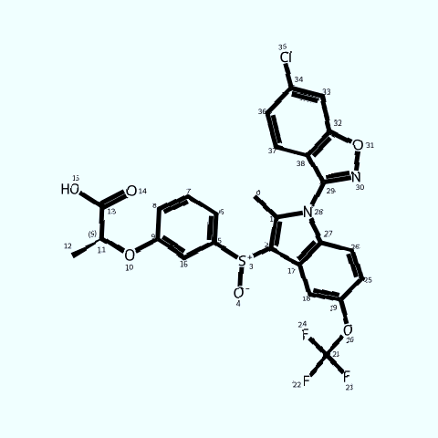 Cc1c([S+]([O-])c2cccc(O[C@@H](C)C(=O)O)c2)c2cc(OC(F)(F)F)ccc2n1-c1noc2cc(Cl)ccc12